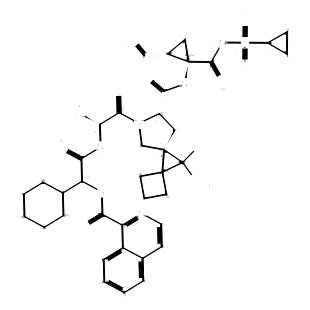 C=C[C@@H]1C[C@]1(NC(=O)[C@@H]1C[C@@]2(CN1C(=O)[C@@H](NC(=O)C(NC(=O)c1nccc3ccccc13)C1CCCCC1)C(C)(C)C)C(C)(C)C21CCC1)C(=O)NS(=O)(=O)C1CC1